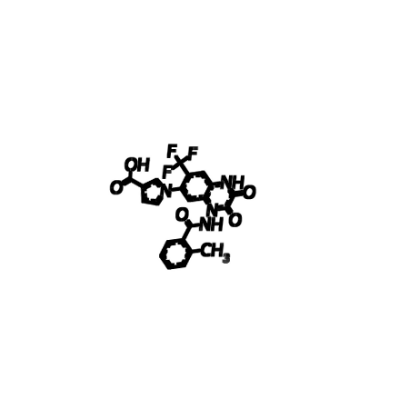 Cc1ccccc1C(=O)Nn1c(=O)c(=O)[nH]c2cc(C(F)(F)F)c(-n3ccc(C(=O)O)c3)cc21